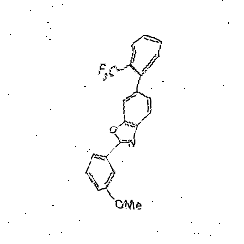 COc1cccc(-c2nc3ccc(-c4ccccc4C(F)(F)F)cc3o2)c1